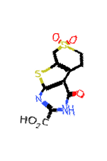 O=C(O)c1nc2sc3c(c2c(=O)[nH]1)CCS(=O)(=O)C3